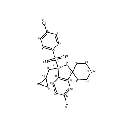 O=S(=O)(c1ccc(Cl)cc1)[N+]1(CC2CC2)CC2(CCNCC2)c2cc(F)ccc21